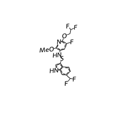 COc1nc(OCC(F)F)c(F)cc1NSc1c[nH]c2cc(C(F)F)ccc12